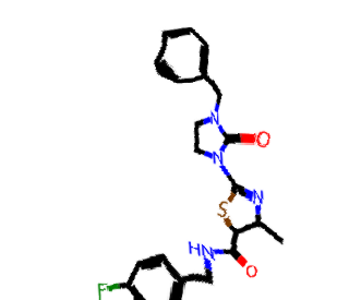 CC1N=C(N2CCN(Cc3ccccc3)C2=O)SC1C(=O)NCc1ccc(F)cc1